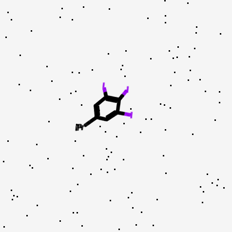 [CH2]C(C)c1cc(I)c(I)c(I)c1